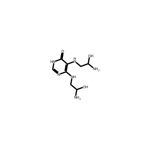 NC(O)CNc1nc[nH]c(=O)c1NCC(N)O